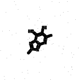 Cc1nc2nc(C)c(S)c(O)n2n1